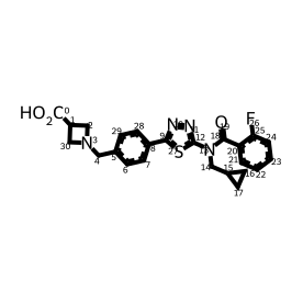 O=C(O)C1CN(Cc2ccc(-c3nnc(N(CC4CC4)C(=O)c4ccccc4F)s3)cc2)C1